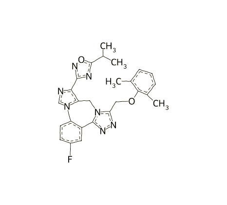 Cc1cccc(C)c1OCc1nnc2n1Cc1c(-c3noc(C(C)C)n3)ncn1-c1ccc(F)cc1-2